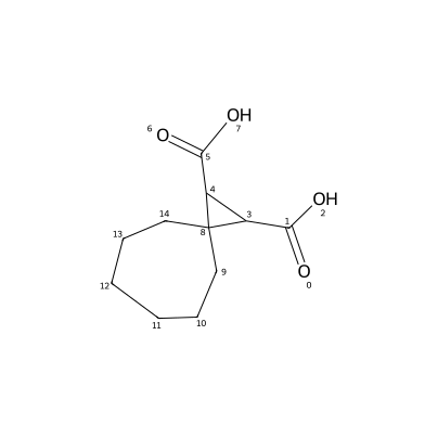 O=C(O)C1C(C(=O)O)C12CCCCCC2